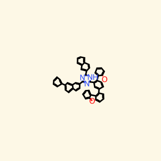 c1ccc(-c2ccc3ccc(C4=NC(c5cc(-c6cccc7oc8ccccc8c67)cc6oc7ccccc7c56)NC(c5ccc6ccccc6c5)=N4)cc3c2)cc1